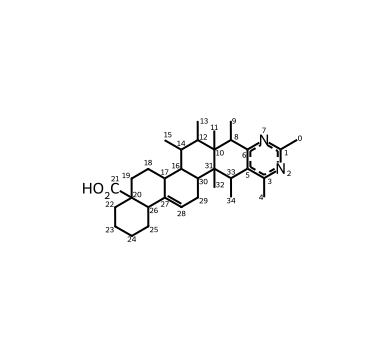 Cc1nc(C)c2c(n1)C(C)C1(C)C(C)C(C)C3C4CCC5(C(=O)O)CCCCC5C4=CCC3C1(C)C2C